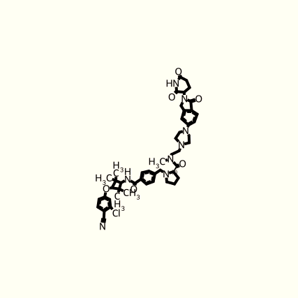 CN(CCN1CCN(c2ccc3c(c2)CN(C2CCC(=O)NC2=O)C3=O)CC1)C(=O)[C@H]1CCCN1Cc1ccc(C(=O)NC2C(C)(C)C(Oc3ccc(C#N)c(Cl)c3)C2(C)C)cc1